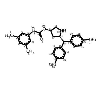 Cc1cc(C)cc(NC(=O)O[C@H]2CN[C@@H](C(c3ccc(C(C)(C)C)cc3)c3ccc(C(C)(C)C)cc3)C2)c1